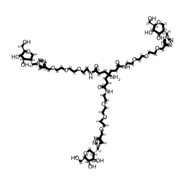 NC(CCC(=O)NCCOCCOCCOCc1cn(C[C@H]2CO[C@H](CO)[C@H](O)[C@@H]2O)nn1)(CCC(=O)NCCOCCOCCOCc1cn(C[C@H]2CO[C@H](CO)[C@H](O)[C@@H]2O)nn1)CCC(=O)NCCOCCOCCOCc1cn(C[C@H]2CO[C@H](CO)[C@H](O)[C@@H]2O)nn1